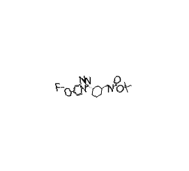 CC(C)(C)OC(=O)N=CC1CCC[C@H](c2nnc3cc(OCF)ccn23)C1